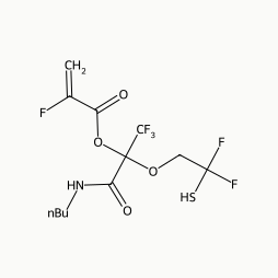 C=C(F)C(=O)OC(OCC(F)(F)S)(C(=O)NCCCC)C(F)(F)F